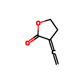 C=C=C1CCOC1=O